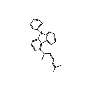 CC(C)=C/C=C\C(C)c1cccc2c1c1ccccc1n2-c1ccccc1